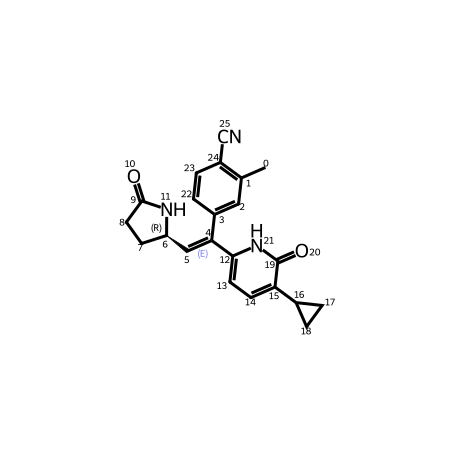 Cc1cc(/C(=C\[C@H]2CCC(=O)N2)c2ccc(C3CC3)c(=O)[nH]2)ccc1C#N